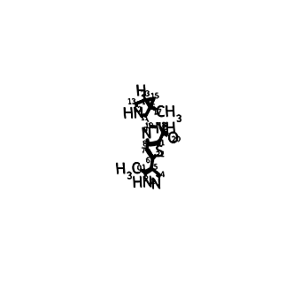 Cc1[nH]ncc1-c1cc2nc([C@@H]3NC[C@@H]4CC43C)[nH]c(=O)c2s1